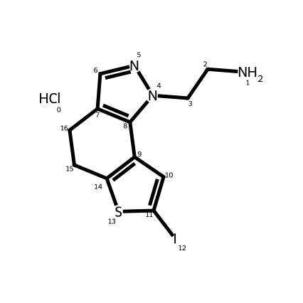 Cl.NCCn1ncc2c1-c1cc(I)sc1CC2